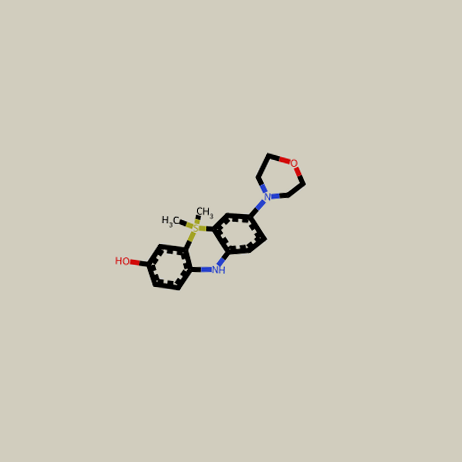 CS1(C)c2cc(O)ccc2Nc2ccc(N3CCOCC3)cc21